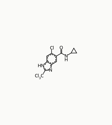 O=C(NC1CC1)c1cc2nc(C(Cl)(Cl)Cl)[nH]c2cc1Cl